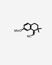 COc1ccc2c(c1)/C(=C\C#N)C(C)(C)CC2